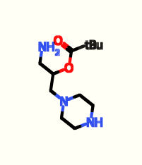 CC(C)(C)C(=O)OC(CN)CN1CCNCC1